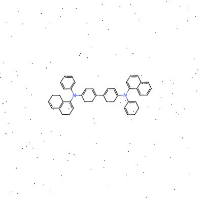 C1=CC(N(C2=CC=C(C3=CC=C(N(C4=CCCC5=C4CCC=C5)c4ccccc4)CC3)CC2)c2cccc3ccccc23)=CCC1